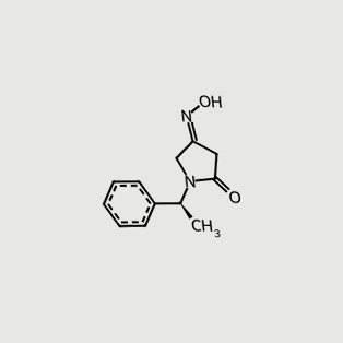 C[C@@H](c1ccccc1)N1CC(=NO)CC1=O